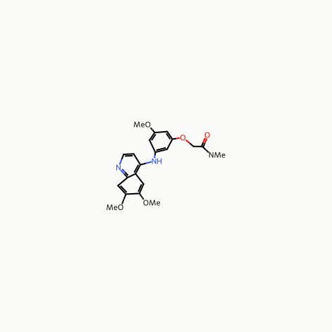 CNC(=O)COc1cc(Nc2ccnc3cc(OC)c(OC)cc23)cc(OC)c1